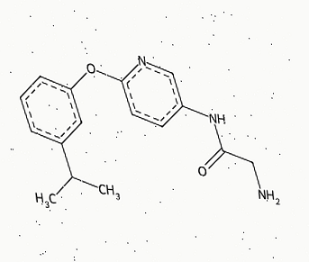 CC(C)c1cccc(Oc2ccc(NC(=O)CN)cn2)c1